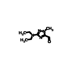 CCN(CC)c1nc(C=O)n(C)n1